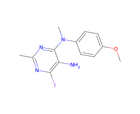 COc1ccc(N(C)c2nc(C)nc(I)c2N)cc1